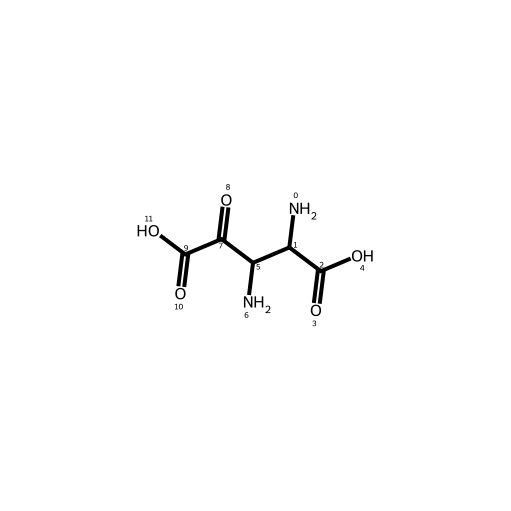 NC(C(=O)O)C(N)C(=O)C(=O)O